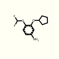 Nc1ccc(OC(F)F)c(OC2CCCC2)c1